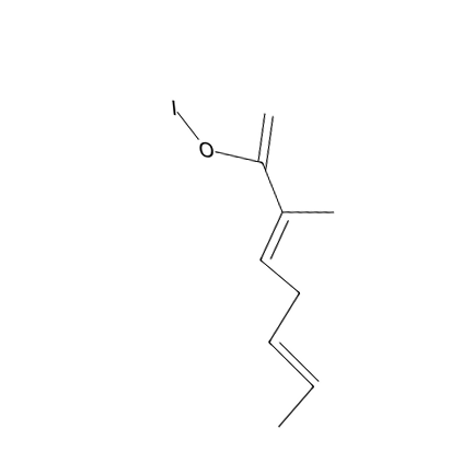 C=C(OI)/C(C)=C/C/C=C/C